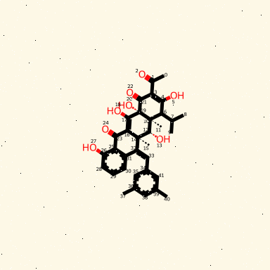 CC(=O)C1=C(O)C(C(C)C)[C@@]2(C)[C@H](O)[C@]3(C)C(=C(O)[C@@]2(O)C1=O)C(=O)c1c(O)cccc1/C3=C\c1cc(C)cc(C)c1